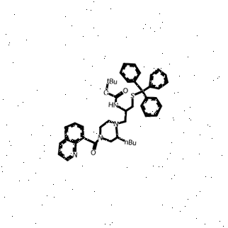 CCCCC1CN(C(=O)c2cccc3cccnc23)CCN1CC(CSC(c1ccccc1)(c1ccccc1)c1ccccc1)NC(=O)OC(C)(C)C